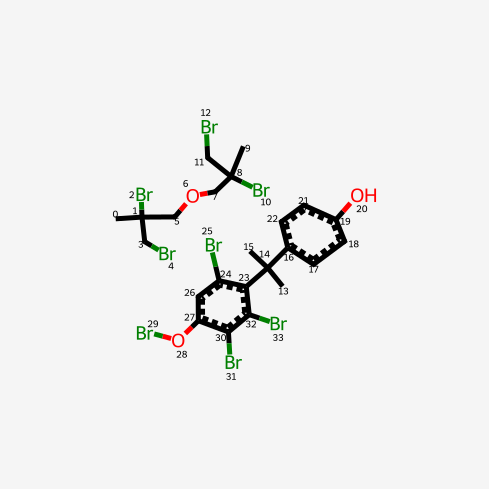 CC(Br)(CBr)COCC(C)(Br)CBr.CC(C)(c1ccc(O)cc1)c1c(Br)cc(OBr)c(Br)c1Br